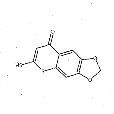 O=c1cc(S)sc2cc3c(cc12)OCO3